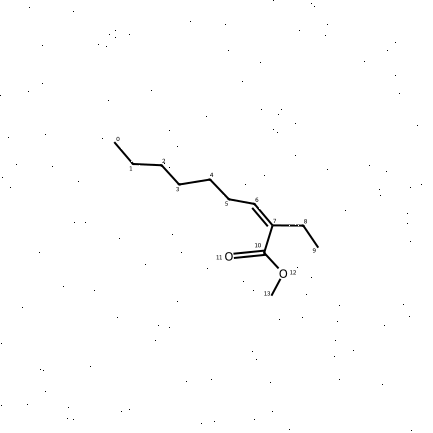 CCCCCC/C=C(/CC)C(=O)OC